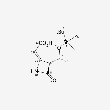 C[C@@H](O[Si](C)(C)C(C)(C)C)[C@H]1C(=O)N/C1=C/C(=O)O